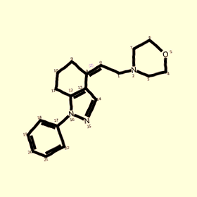 C(/CN1CCOCC1)=C1\CCCc2c1cnn2-c1ccccc1